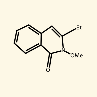 CCc1cc2ccccc2c(=O)n1OC